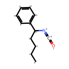 CCCCC(N=C=O)c1[c]cccc1